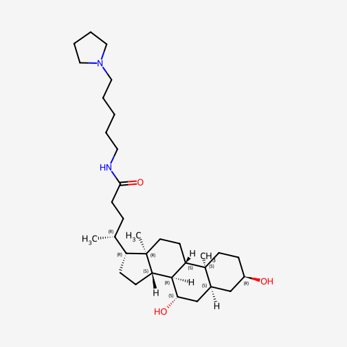 C[C@H](CCC(=O)NCCCCCN1CCCC1)[C@H]1CC[C@H]2[C@@H]3[C@@H](O)C[C@@H]4C[C@H](O)CC[C@]4(C)[C@H]3CC[C@]12C